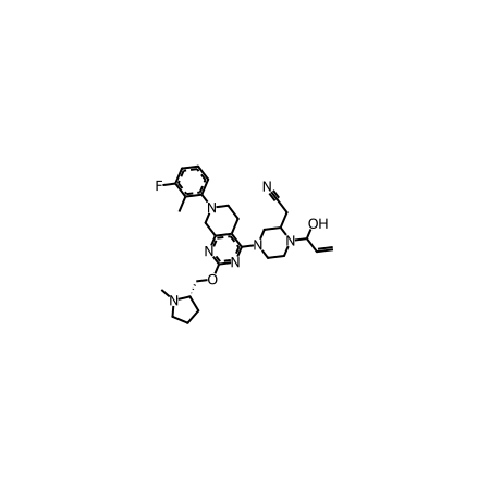 C=CC(O)N1CCN(c2nc(OC[C@@H]3CCCN3C)nc3c2CCN(c2cccc(F)c2C)C3)CC1CC#N